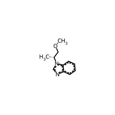 COC[C@@H](C)n1cnc2ccccc21